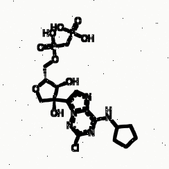 O=P(O)(O)CP(=O)(O)OC[C@H]1OC[C@@](O)(c2cnc3c(NC4CCCC4)nc(Cl)nn23)[C@@H]1O